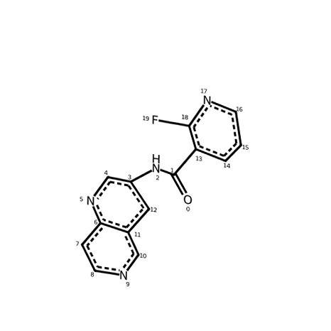 O=C(Nc1cnc2ccncc2c1)c1cccnc1F